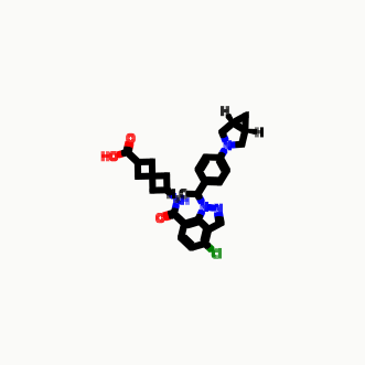 CC(c1ccc(N2C[C@H]3C[C@H]3C2)cc1)n1ncc2c(Cl)ccc(C(=O)NC3CC4(C3)CC(C(=O)O)C4)c21